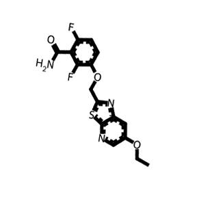 CCOc1cnc2sc(COc3ccc(F)c(C(N)=O)c3F)nc2c1